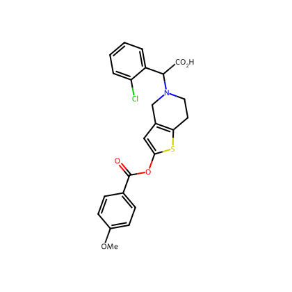 COc1ccc(C(=O)Oc2cc3c(s2)CCN(C(C(=O)O)c2ccccc2Cl)C3)cc1